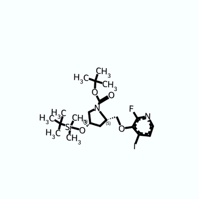 CC(C)(C)OC(=O)N1C[C@@H](O[Si](C)(C)C(C)(C)C)C[C@H]1COc1c(I)ccnc1F